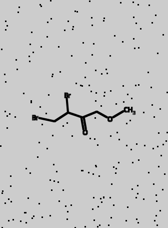 COCC(=O)C(Br)CBr